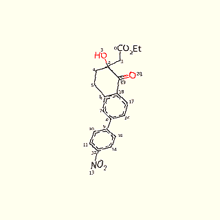 CCOC(=O)CC1(O)CCc2cc(-c3ccc([N+](=O)[O-])cc3)ccc2C1=O